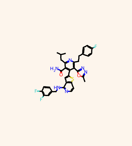 Cc1nnc(-c2c(CCc3ccc(F)cc3)nc(CC(C)C)c(C(N)=O)c2-c2cc3c(NCc4ccc(F)c(F)c4)nccc3s2)o1